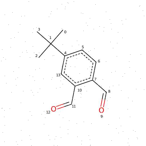 CC(C)(C)c1ccc(C=O)c(C=O)c1